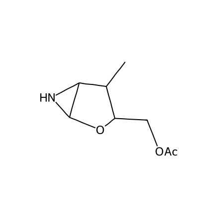 CC(=O)OCC1OC2NC2C1C